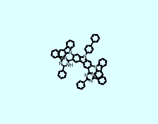 c1ccc(C2=NC(c3ccccc3)NC(c3cc4c5cc(-c6nc(-c7ccccc7)nc(-c7ccccc7)n6)c(-n6c7ccccc7c7ccccc76)cc5n(-c5ccc(-c6ccccc6)cc5)c4cc3-n3c4ccccc4c4ccccc43)=N2)cc1